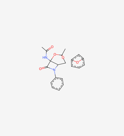 CCC1N(c2ccccc2)C(=O)C1(NC(C)=O)OC(C)=O.c1cc2cc(c1)O2